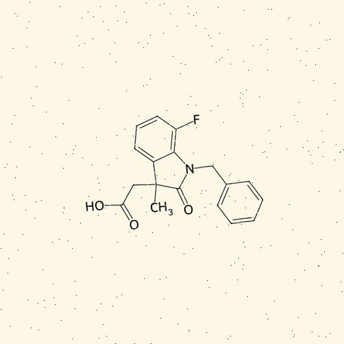 CC1(CC(=O)O)C(=O)N(Cc2ccccc2)c2c(F)cccc21